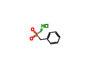 Cl.O=S(=O)(F)Cc1ccccc1